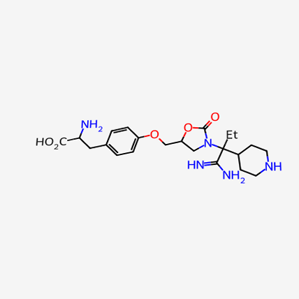 CCC(C(=N)N)(C1CCNCC1)N1CC(COc2ccc(CC(N)C(=O)O)cc2)OC1=O